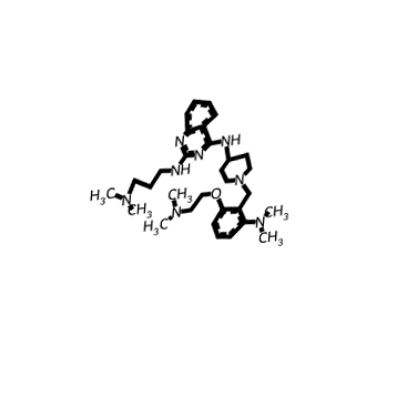 CN(C)CCCNc1nc(NC2CCN(Cc3c(OCCN(C)C)cccc3N(C)C)CC2)c2ccccc2n1